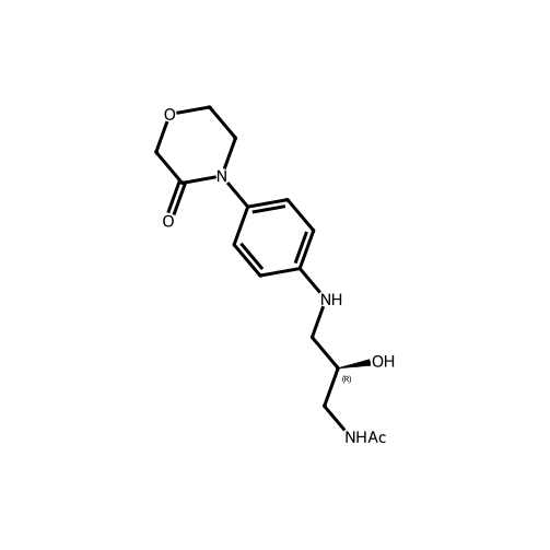 CC(=O)NC[C@H](O)CNc1ccc(N2CCOCC2=O)cc1